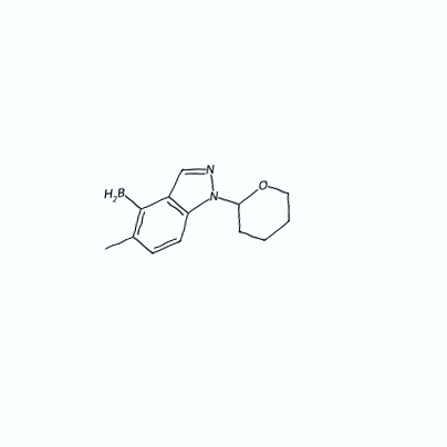 Bc1c(C)ccc2c1cnn2C1CCCCO1